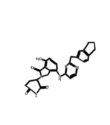 O=C1CCC(N2Cc3c(Nc4ccnc(Cc5ccc6c(c5)CCC6)n4)ccc(O)c3C2=O)C(=O)N1